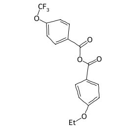 CCOc1ccc(C(=O)OC(=O)c2ccc(OC(F)(F)F)cc2)cc1